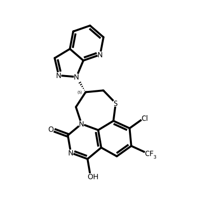 O=c1nc(O)c2cc(C(F)(F)F)c(Cl)c3c2n1C[C@H](n1ncc2cccnc21)CS3